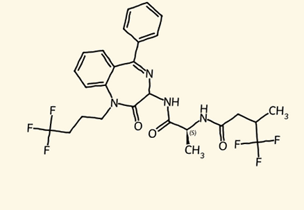 CC(CC(=O)N[C@@H](C)C(=O)NC1N=C(c2ccccc2)c2ccccc2N(CCCC(F)(F)F)C1=O)C(F)(F)F